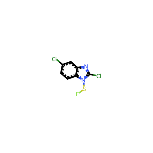 FSn1c(Cl)nc2cc(Cl)ccc21